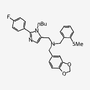 CCCCn1c(CN(Cc2ccc3c(c2)OCO3)Cc2ccccc2SC)cnc1-c1ccc(F)cc1